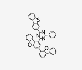 C1=C(c2cccc3c2oc2ccccc23)C=C(c2nc(-c3ccccc3)nc(-c3ccc4c(c3)sc3ccccc34)n2)C2c3ccccc3OC12